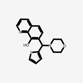 Oc1c(C(c2cccs2)N2CCOCC2)ccc2cccnc12